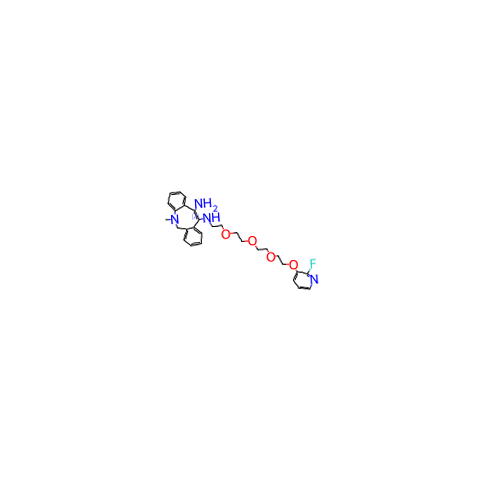 CN1Cc2ccccc2/C(NCCOCCOCCOCCOc2cccnc2F)=C(/N)c2ccccc21